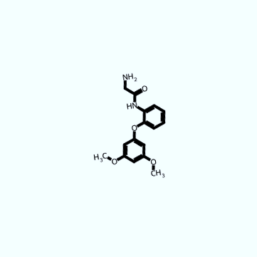 COc1cc(OC)cc(Oc2ccccc2NC(=O)CN)c1